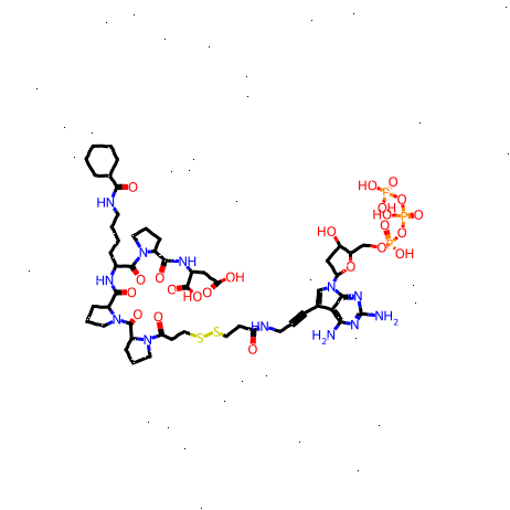 Nc1nc(N)c2c(C#CCNC(=O)CCSSCCC(=O)N3CCCC3C(=O)N3CCCC3C(=O)NC(CCCCNC(=O)C3CCCCC3)C(=O)N3CCCC3C(=O)NC(CC(=O)O)C(=O)O)cn(C3CC(O)C(COP(=O)(O)OP(=O)(O)OP(=O)(O)O)O3)c2n1